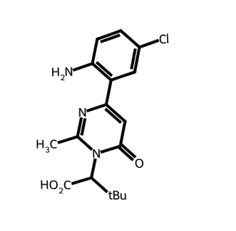 Cc1nc(-c2cc(Cl)ccc2N)cc(=O)n1C(C(=O)O)C(C)(C)C